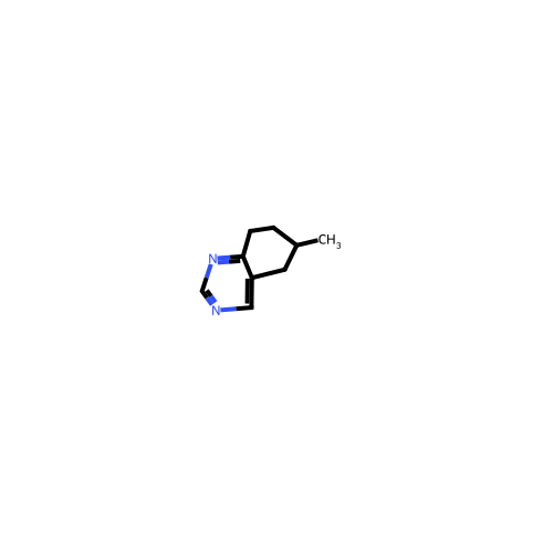 CC1CCc2ncncc2C1